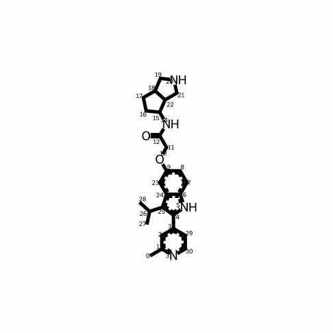 Cc1cc(-c2[nH]c3ccc(OCC(=O)NC4CCC5CNCC54)cc3c2C(C)C)ccn1